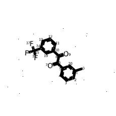 Cc1cccc(C(=O)C(=O)c2cccc(C(F)(F)F)c2)c1